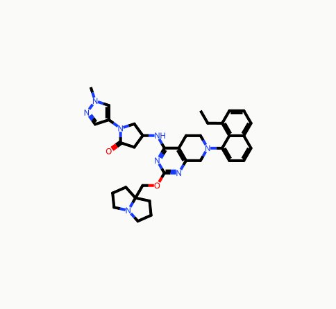 CCc1cccc2cccc(N3CCc4c(nc(OCC56CCCN5CCC6)nc4NC4CC(=O)N(c5cnn(C)c5)C4)C3)c12